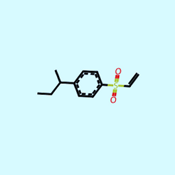 C=CS(=O)(=O)c1ccc(C(C)CC)cc1